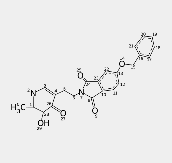 CC1=NC=C(CCN2C(=O)c3ccc(OCc4ccccc4)cc3C2=O)C(=O)C1O